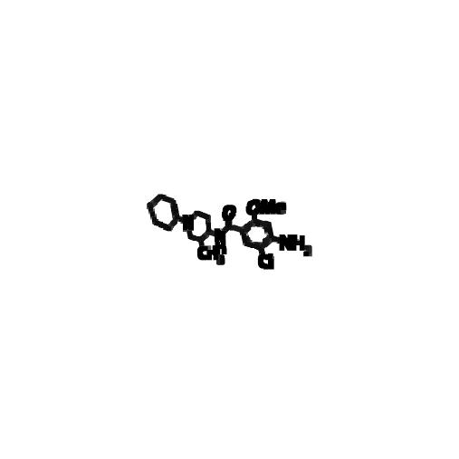 COc1cc(N)c(Cl)cc1C(=O)NC1CCN(C2=CCCCC2)CC1C